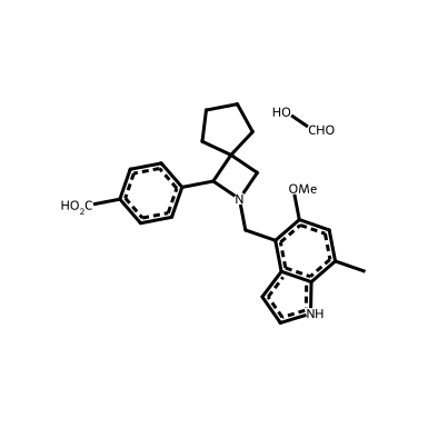 COc1cc(C)c2[nH]ccc2c1CN1CC2(CCCC2)C1c1ccc(C(=O)O)cc1.O=CO